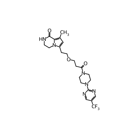 Cc1cc(CCOCCC(=O)N2CCN(c3ncc(C(F)(F)F)cn3)CC2)n2c1C(=O)NCC2